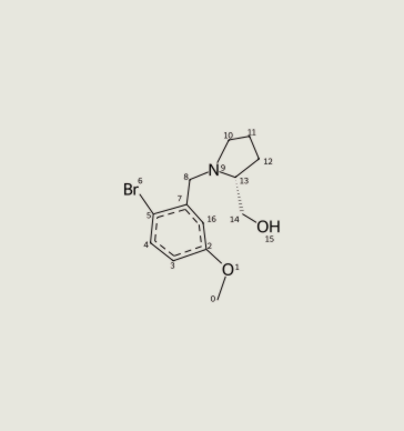 COc1ccc(Br)c(CN2CCC[C@@H]2CO)c1